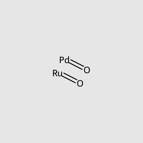 [O]=[Pd].[O]=[Ru]